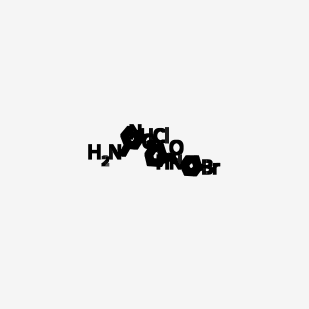 Cl.NCc1ccnc(Oc2cccc(C(=O)Nc3ccc(Br)cc3)c2)c1